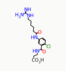 N=C(N)NCCCCCC(=O)Nc1ccc(Cl)c(C(=O)NCCC(=O)O)c1